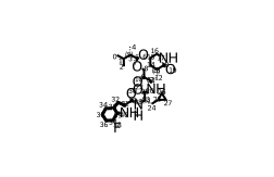 CC(C)[C@H](C)C(=O)OCC(=O)[C@H](C[C@@H]1CCCNC1=O)NC(=O)[C@H](CC1CC1)NC(=O)c1cc2cccc(F)c2[nH]1